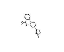 COC(=O)c1ccccc1-c1ccc(-c2ccn(C)n2)cc1